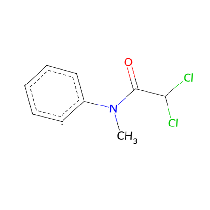 CN(C(=O)C(Cl)Cl)c1[c]cccc1